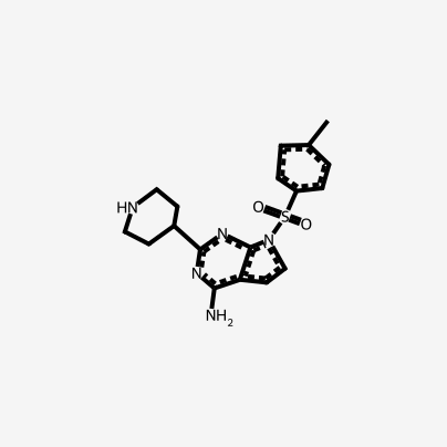 Cc1ccc(S(=O)(=O)n2ccc3c(N)nc(C4CCNCC4)nc32)cc1